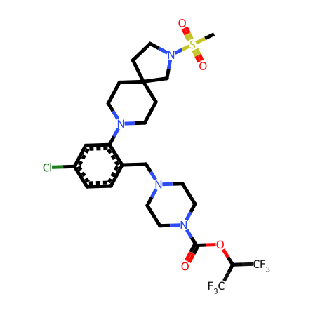 CS(=O)(=O)N1CCC2(CCN(c3cc(Cl)ccc3CN3CCN(C(=O)OC(C(F)(F)F)C(F)(F)F)CC3)CC2)C1